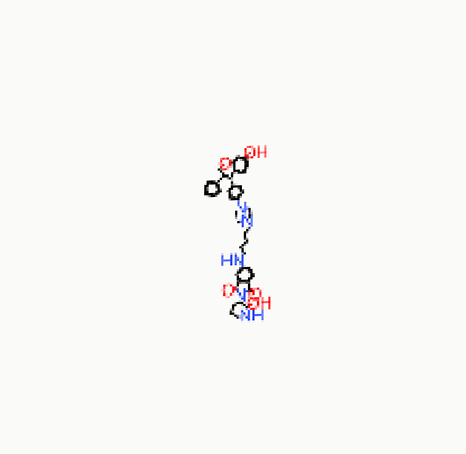 O=C1c2ccc(NCCCCCN3CCN(c4ccc([C@@H]5c6ccc(O)cc6OCC5c5ccccc5)cc4)CC3)cc2C(=O)N1C1CCCNC1O